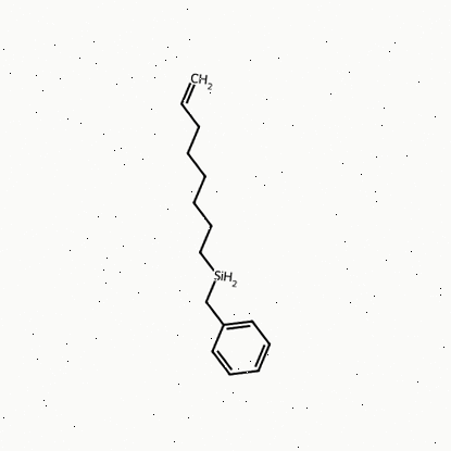 C=CCCCCCC[SiH2]Cc1ccccc1